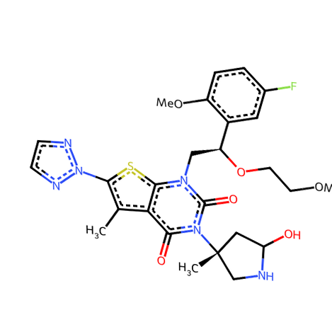 COCCO[C@@H](Cn1c(=O)n([C@@]2(C)CNC(O)C2)c(=O)c2c(C)c(-n3nccn3)sc21)c1cc(F)ccc1OC